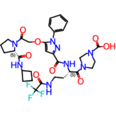 O=C(N[C@@H](CCNC(=O)C(F)(F)F)C(=O)N1CCN(C(=O)O)CC1)c1cc(OCC(=O)N2CCC[C@H]2C(=O)NC2CCC2)n(-c2ccccc2)n1